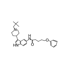 CC(C)(C)CN1CCC(c2c[nH]c3ccc(NC(=O)CCCCOc4ccccc4)cc23)CC1